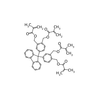 C=C(C)C(=O)OCc1ccc(C2(c3ccc(COC(=O)C(=C)C)c(COC(=O)C(=C)C)c3)c3ccccc3-c3ccccc32)cc1COC(=O)C(=C)C